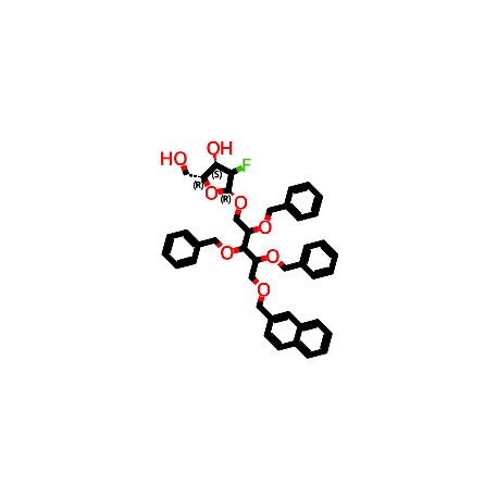 OC[C@H]1O[C@@H](OCC(OCc2ccccc2)C(OCc2ccccc2)C(COCc2ccc3ccccc3c2)OCc2ccccc2)C(F)[C@H]1O